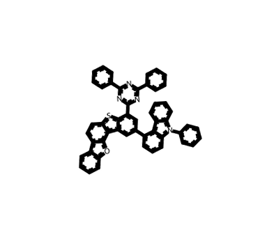 c1ccc(-c2nc(-c3ccccc3)nc(-c3cc(-c4cccc5c4c4ccccc4n5-c4ccccc4)cc4c3sc3ccc5c6ccccc6oc5c34)n2)cc1